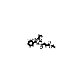 CCOC(=O)/C=C/C(=O)OC[C@@H](NC(=O)CC)c1ccccc1